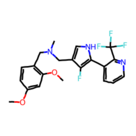 COc1ccc(CN(C)Cc2c[nH]c(-c3cccnc3C(F)(F)F)c2F)c(OC)c1